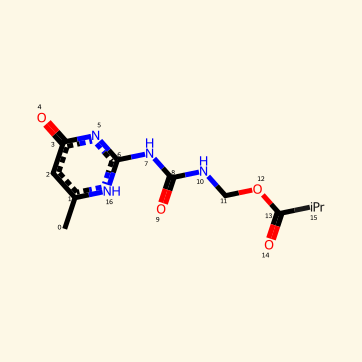 Cc1cc(=O)nc(NC(=O)NCOC(=O)C(C)C)[nH]1